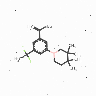 C=C(CCCC)c1cc(B2CCC(C)(C)C(C)(C)C2)cc(C(C)(F)F)c1